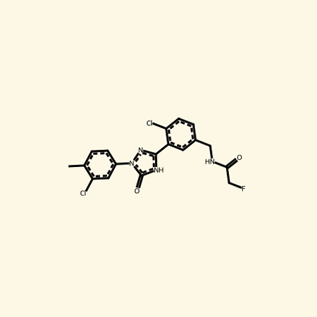 Cc1ccc(-n2nc(-c3cc(CNC(=O)CF)ccc3Cl)[nH]c2=O)cc1Cl